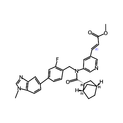 COC(=O)/C=C/c1cncc(N(Cc2ccc(-c3ccc4c(c3)ncn4C)cc2F)C(=O)[C@@H]2C[C@@H]3CC[C@H]2C3)c1